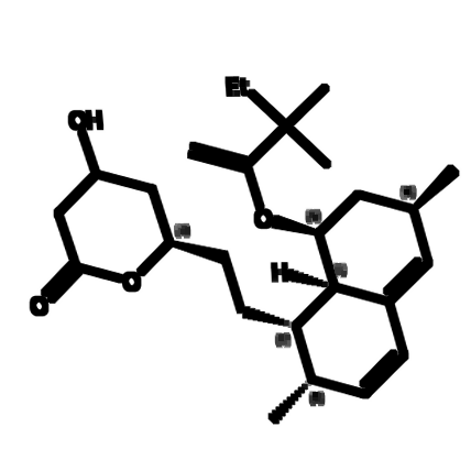 C=C(O[C@H]1C[C@@H](C)C=C2C=C[C@H](C)[C@H](CC[C@@H]3CC(O)CC(=O)O3)[C@H]21)C(C)(C)CC